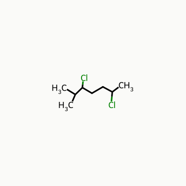 CC(Cl)CCC(Cl)C(C)C